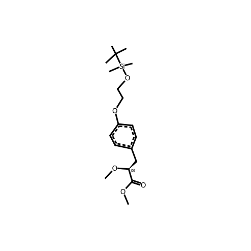 COC(=O)[C@H](Cc1ccc(OCCO[Si](C)(C)C(C)(C)C)cc1)OC